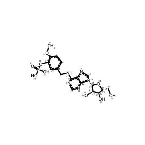 COc1ccc(CNc2ncnc3c2ncn3[C@@H]2O[C@H](CO)[C@@H](O)[C@H]2O)cc1OP(=O)(O)O